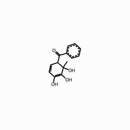 CC1(O)C(O)=C(O)C=CC1C(=O)c1ccccc1